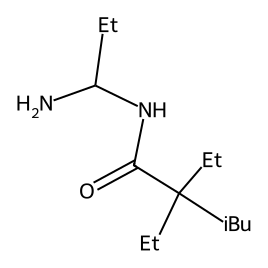 CCC(N)NC(=O)C(CC)(CC)C(C)CC